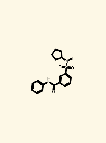 O=C(Nc1ccccc1)c1cccc(S(=O)(=O)N(I)C2CCCC2)c1